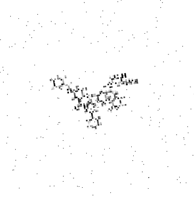 CCC(=O)N(CC(C)c1ccccc1)N(Cc1ccc(OCc2ccccc2)cc1)Cc1ccc(C(=O)NC(CCSC)C(=O)O)c(-c2ccccc2C)c1